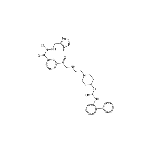 CCN(NCc1ncc[nH]1)C(=O)c1cccc(C(=O)CNCCN2CCC(OC(=O)Nc3ccccc3-c3ccccc3)CC2)c1